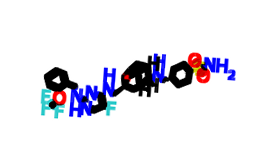 NS(=O)(=O)[C@H]1CC[C@H](CN[C@@H]2[C@@H]3CC4C[C@H]2C[C@@](CNc2nc(NCc5ccccc5OC(F)(F)F)ncc2F)(C4)C3)CC1